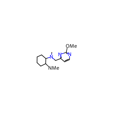 CNC1CCCCC1N(C)Cc1ccnc(OC)n1